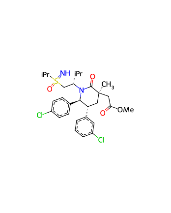 COC(=O)C[C@@]1(C)C[C@H](c2cccc(Cl)c2)[C@@H](c2ccc(Cl)cc2)N([C@H](CS(=N)(=O)C(C)C)C(C)C)C1=O